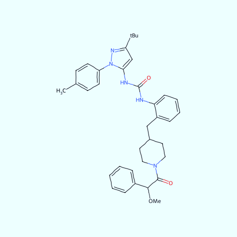 COC(C(=O)N1CCC(Cc2ccccc2NC(=O)Nc2cc(C(C)(C)C)nn2-c2ccc(C)cc2)CC1)c1ccccc1